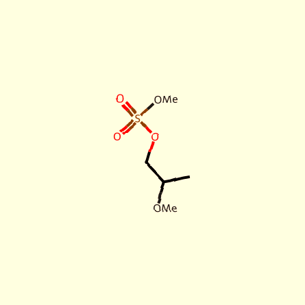 COC(C)COS(=O)(=O)OC